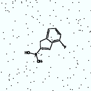 OB(O)C1=Cc2c(F)cccc2C1